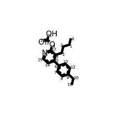 CCCCc1c(-c2ccc(CC)cc2)ccnc1OC(=O)O